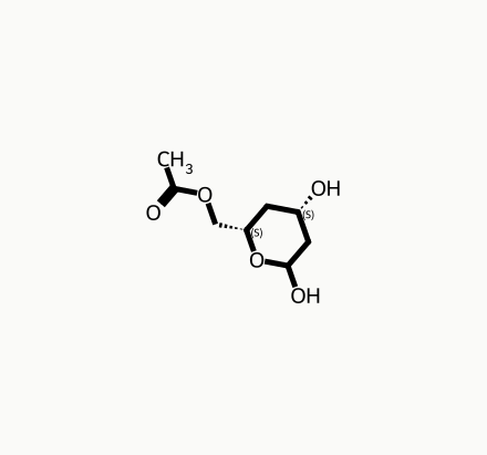 CC(=O)OC[C@@H]1C[C@H](O)CC(O)O1